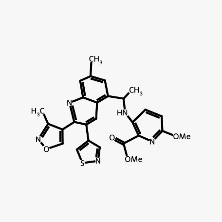 COC(=O)c1nc(OC)ccc1NC(C)c1cc(C)cc2nc(-c3conc3C)c(-c3cnsc3)cc12